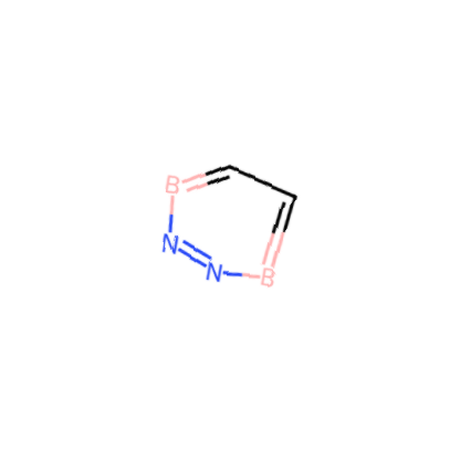 b1ccbnn1